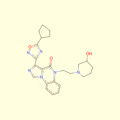 O=c1c2c(-c3noc(C4CCCC4)n3)ncn2c2ccccc2n1CCN1CCCC(O)C1